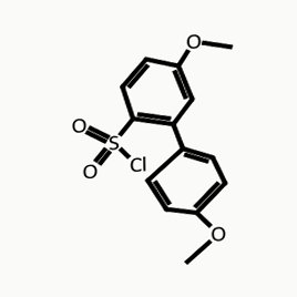 COc1ccc(-c2cc(OC)ccc2S(=O)(=O)Cl)cc1